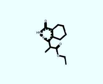 CCOC(=O)C(C)c1n[nH]c(=O)c2c1CCCC2